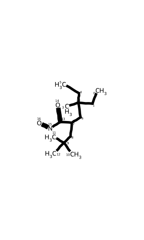 CCC(C)(CC)CC(CC(C)(C)C)C(=O)N=O